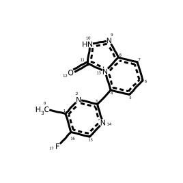 Cc1nc(-c2cccc3n[nH]c(=O)n23)ncc1F